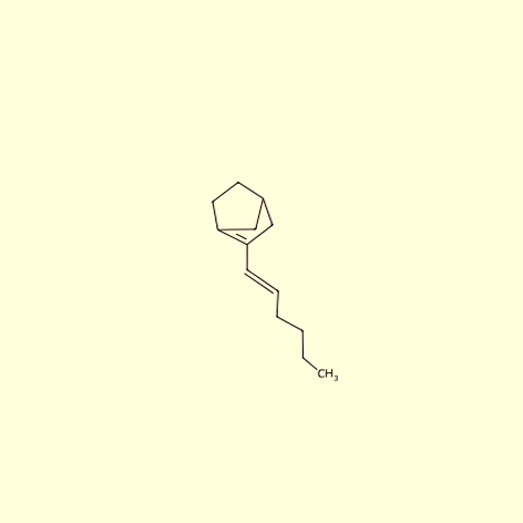 CCCC/C=C/C1=C2CCC(C1)C2